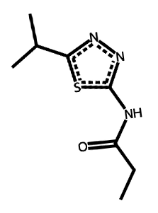 CCC(=O)Nc1nnc(C(C)C)s1